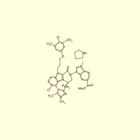 COC(=O)c1ccc2c(c1)c(N1C[C@@H](C)n3c(c(CCCOc4cc(C)c(Cl)c(C)c4)c4ccc(Cl)c(-c5c(C)nn(C)c5C)c43)C1=O)cn2C[C@@H]1CCCN1